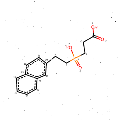 O=C(O)CCP(=O)(O)CCc1ccc2ccccc2c1